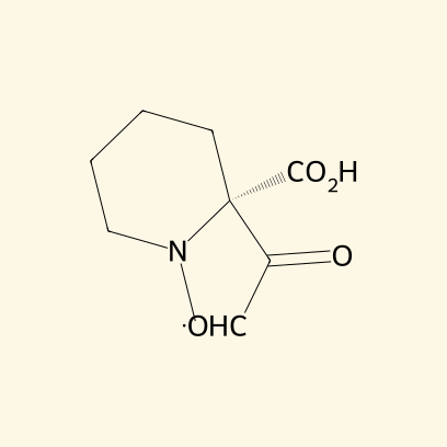 CN1CCCC[C@@]1(C(=O)O)C(=O)[C]=O